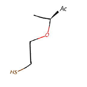 CC(=O)[C@H](C)OCCS